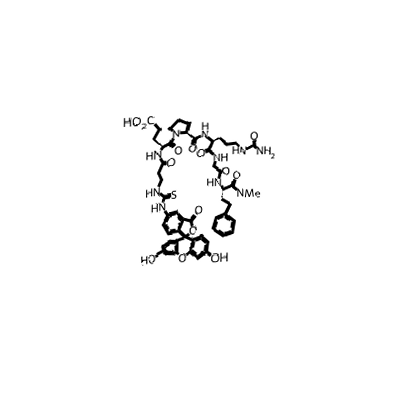 CNC(=O)[C@H](CCc1ccccc1)NC(=O)CNC(=O)[C@H](CCCNC(N)=O)NC(=O)[C@@H]1CCCN1C(=O)[C@H](CCC(=O)O)NC(=O)CCNC(=S)Nc1ccc2c(c1)C(=O)OC21c2ccc(O)cc2Oc2cc(O)ccc21